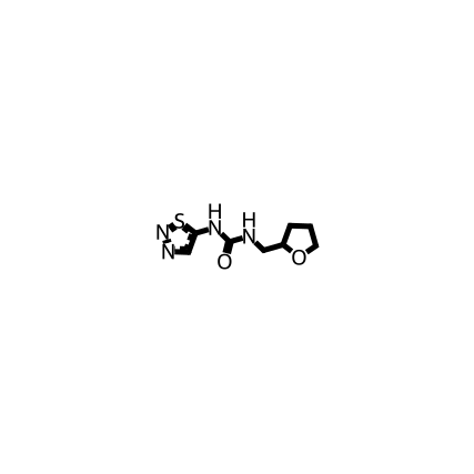 O=C(NCC1CCCO1)Nc1cnns1